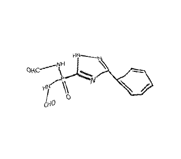 O=CNP(=O)(NC=O)c1nc(-c2ccccc2)n[nH]1